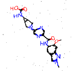 COc1cc2nn(C)cc2cc1NC(=O)c1cnc(N2CC3C(C2)C3NC(=O)O)cn1